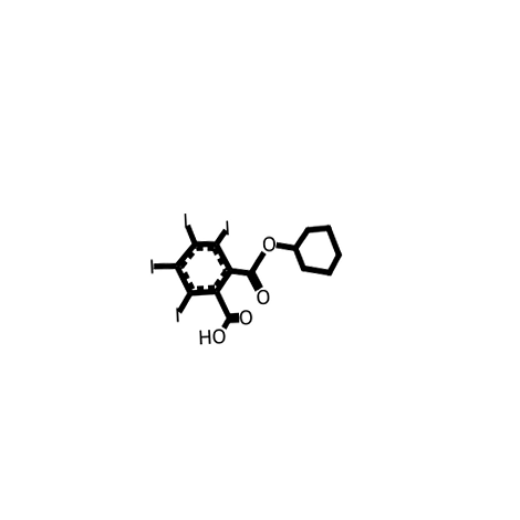 O=C(O)c1c(I)c(I)c(I)c(I)c1C(=O)OC1CCCCC1